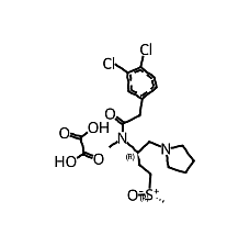 CN(C(=O)Cc1ccc(Cl)c(Cl)c1)[C@H](CC[S@+](C)[O-])CN1CCCC1.O=C(O)C(=O)O